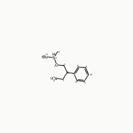 C[SiH](OCC(CN)c1ccccc1)C(C)(C)C